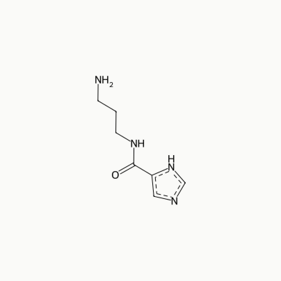 NCCCNC(=O)c1cnc[nH]1